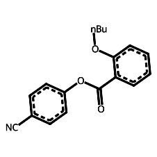 CCCCOc1ccccc1C(=O)Oc1ccc(C#N)cc1